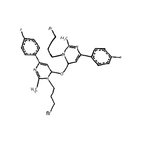 CC1=NC(c2ccc(F)cc2)=CC(OC2C=C(c3ccc(F)cc3)N=C(C)N2CCCBr)N1CCCBr